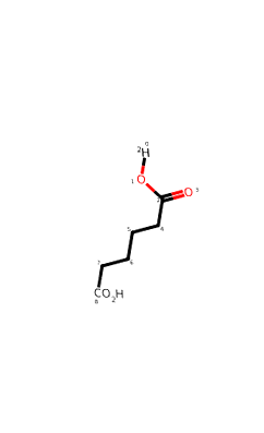 [2H]OC(=O)CCCCC(=O)O